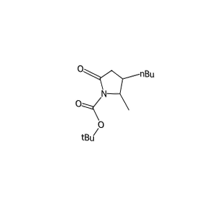 CCCCC1CC(=O)N(C(=O)OC(C)(C)C)C1C